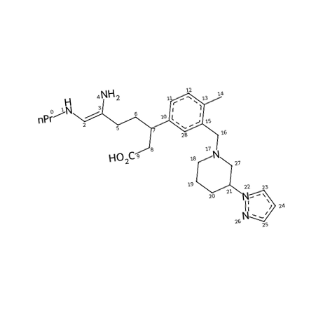 CCCN/C=C(\N)CCC(CC(=O)O)c1ccc(C)c(CN2CCCC(n3cccn3)C2)c1